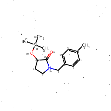 Cc1ccc(CN2CCC(O[Si](C)(C)C(C)(C)C)C2=O)cc1